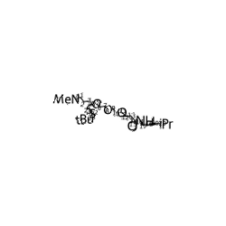 CNCCC[C@H](OCCOCCOCCC(=O)NCC#CC(C)C)SSC(C)(C)C